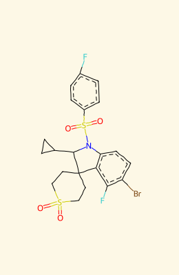 O=S1(=O)CCC2(CC1)c1c(ccc(Br)c1F)N(S(=O)(=O)c1ccc(F)cc1)C2C1CC1